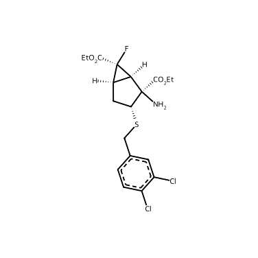 CCOC(=O)[C@@]1(N)[C@H]2[C@@H](C[C@H]1SCc1ccc(Cl)c(Cl)c1)[C@]2(F)C(=O)OCC